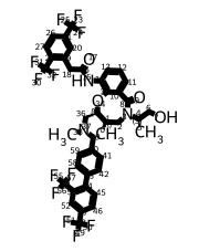 C[C@@H]1CN([C@@H](C)CO)C(=O)c2cccc(NC(=O)Cc3cc(C(F)(F)F)ccc3C(F)(F)F)c2O[C@@H]1CN(C)Cc1ccc(-c2ccc(C(F)(F)F)cc2C(F)(F)F)cc1